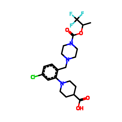 CC(OC(=O)N1CCN(Cc2ccc(Cl)cc2N2CCC(C(=O)O)CC2)CC1)C(F)(F)F